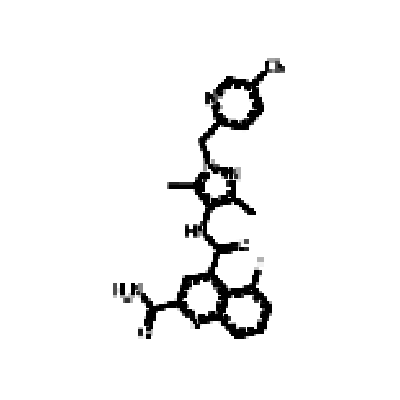 Cc1nn(Cc2ccc(C#N)cn2)c(C)c1NC(=O)c1cc(C(N)=O)nc2cccc(F)c12